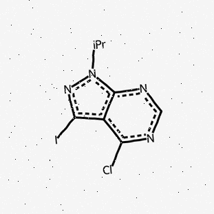 CC(C)n1nc(I)c2c(Cl)ncnc21